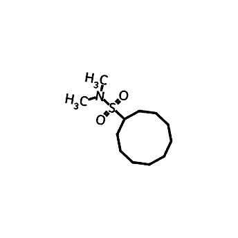 CN(C)S(=O)(=O)C1CCCCCCCCC1